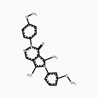 COc1ccc(-n2ncc3c(C)n(-c4cccc(OC)c4)c(C)c3c2=O)cc1